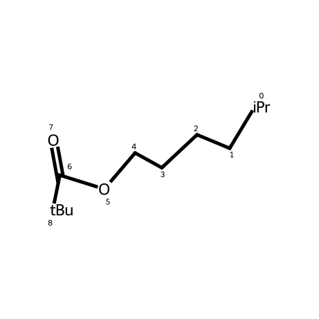 CC(C)CCCCOC(=O)C(C)(C)C